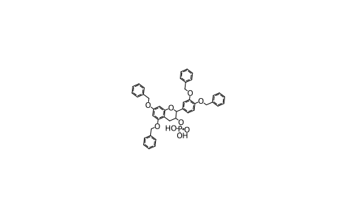 O=P(O)(O)OC1Cc2c(OCc3ccccc3)cc(OCc3ccccc3)cc2OC1c1ccc(OCc2ccccc2)c(OCc2ccccc2)c1